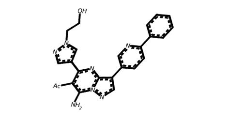 CC(=O)c1c(-c2cnn(CCO)c2)nc2c(-c3ccc(-c4ccccc4)nc3)cnn2c1N